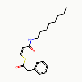 CCCCCCCCNC(=O)/C=C\SC(=O)Cc1ccccc1